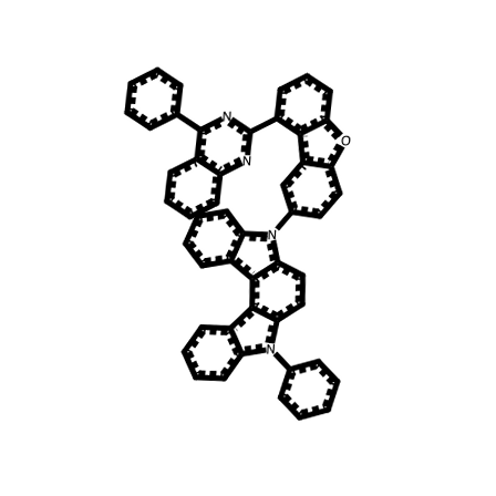 c1ccc(-c2nc(-c3cccc4oc5ccc(-n6c7ccccc7c7c8c9ccccc9n(-c9ccccc9)c8ccc76)cc5c34)nc3ccccc23)cc1